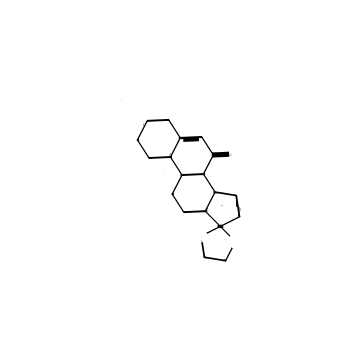 CC(=O)O[C@H]1CC[C@@]2(C)C(=CC(=O)C3C2CC[C@@]2(C)C3CCC23OCCO3)C1